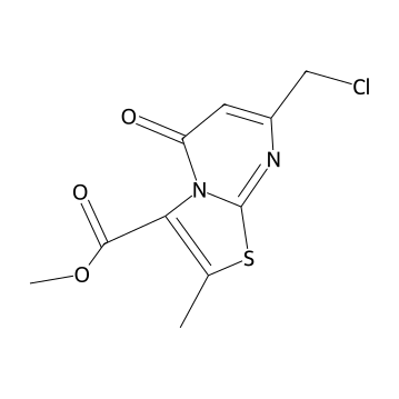 COC(=O)c1c(C)sc2nc(CCl)cc(=O)n12